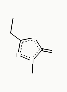 CCc1nn(C)c(=S)o1